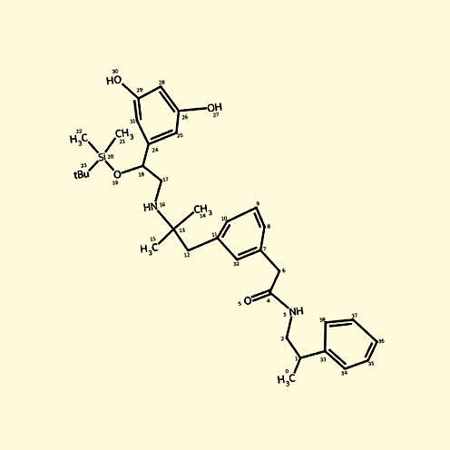 CC(CNC(=O)Cc1cccc(CC(C)(C)NCC(O[Si](C)(C)C(C)(C)C)c2cc(O)cc(O)c2)c1)c1ccccc1